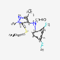 CCCCCSc1c(N(C=O)c2ccc(F)cc2F)c(C(F)(F)F)nn1C